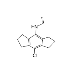 C=CNc1c2c(c(Cl)c3c1CCC3)CCC2